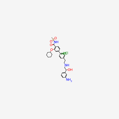 CS(=O)(=O)NC(=O)c1ccc(-c2ccc(CCNC[C@@H](O)c3cccc(N)c3)cc2)cc1OC1CCCCC1.Cl.Cl